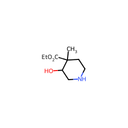 CCOC(=O)C1(C)CCNCC1O